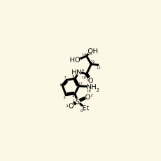 CCS(=O)(=O)c1cccc(NC(=O)C(C)C(O)O)c1N